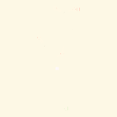 O=C(O)c1ccc2oc3c(c(=O)c2c1)CC/C3=C\c1cccc(Cl)c1